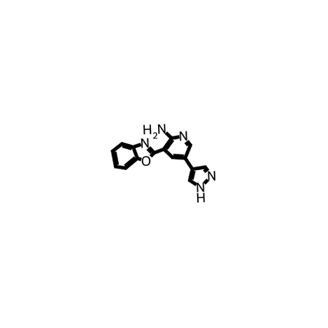 Nc1ncc(-c2cn[nH]c2)cc1-c1nc2ccccc2o1